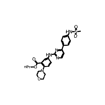 CCCOC(=O)c1cc(Nc2nccc(-c3ccc(NS(C)(=O)=O)cc3)n2)ccc1N1CCOCC1